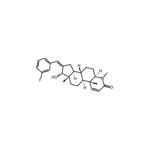 CN1C(=O)C=C[C@]2(C)[C@H]3CC[C@]4(C)[C@@H](O)/C(=C\c5cccc(F)c5)C[C@H]4[C@@H]3CC[C@@H]12